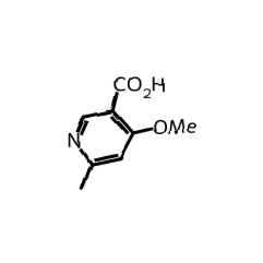 COc1cc(C)ncc1C(=O)O